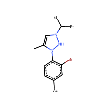 CCC(CC)N1C=C(C)N(c2ccc(C(C)=O)cc2Br)N1